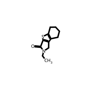 CCN1Cc2c(sc3c2CCCC3)C1=O